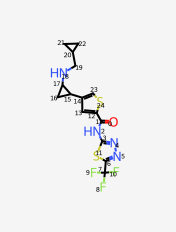 O=C(Nc1nnc(C(F)(F)F)s1)c1cc(C2CC2NCC2CC2)cs1